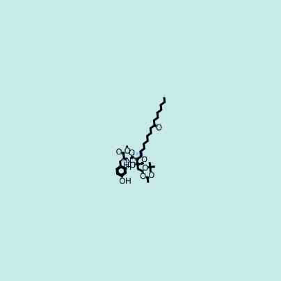 CCCCCCCC(=O)CCCCCC/C=C/[C@H](C(=O)N[C@@H](Cc1ccc(O)cc1)C(=O)OC)[C@@](O)(CCOC(C)=O)C(=O)OC(C)(C)C